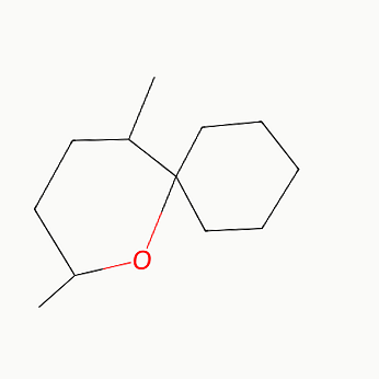 CC1CCC(C)C2(CCCCC2)O1